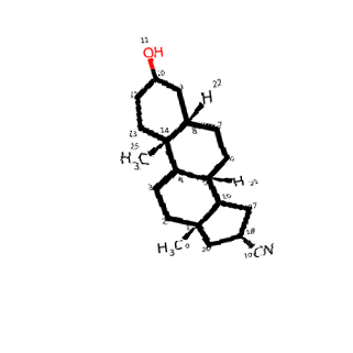 C[C@@]12CCC3[C@H](CC[C@H]4CC(O)CC[C@@]34C)C1C[C@@H](C#N)C2